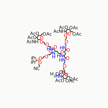 C=C(C)NC1C(OCCOCCNC(=O)C(CCC(=O)NCCOCCOC2OC(COC(C)=O)C(OC(C)=O)C(OC(C)=O)C2NC(C)=O)NC(=O)CCC(NC(=O)CCOCCOP(OCCC#N)C(C(C)C)C(C)C)C(=O)NCCOCCOC2OC(COC(C)=O)C(OC(C)=O)C(OC(C)=O)C2NC(C)=O)OC(COC(C)=O)C(OC(C)=O)C1OC(C)=O